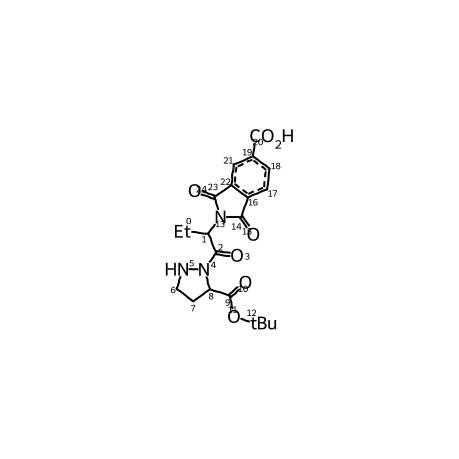 CCC(C(=O)N1NCCC1C(=O)OC(C)(C)C)N1C(=O)c2ccc(C(=O)O)cc2C1=O